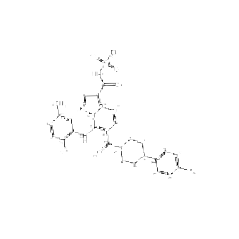 CCS(=O)(=O)NC(=O)c1cnn2c(Nc3cc(C)ccc3F)c(C(=O)N3CCC(c4ccc(F)cc4)CC3)cnc12